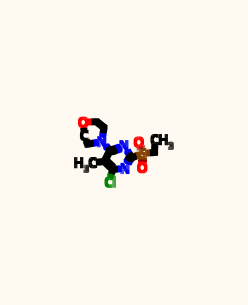 CCS(=O)(=O)c1nc(Cl)c(C)c(N2CCOCC2)n1